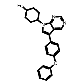 [Fe][CH]1CCC(n2cc(-c3ccc(Oc4ccccc4)cc3)c3cncnc32)CC1